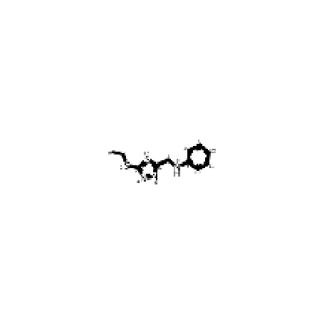 CCSc1nnc(CNc2ccccc2)s1